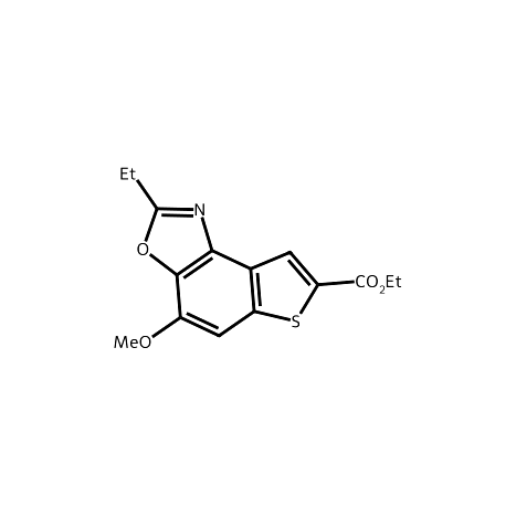 CCOC(=O)c1cc2c(cc(OC)c3oc(CC)nc32)s1